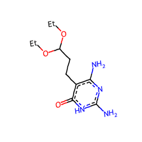 CCOC(CCc1c(N)nc(N)[nH]c1=O)OCC